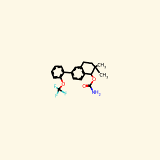 CC1(C)CCc2cc(-c3ccccc3OC(F)(F)F)ccc2C1OC(N)=O